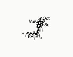 CCCCCCCCOc1c(OC)c2ccc(NCC=C(C)CCC=C(C)C)cc2n(CCCC)c1=O